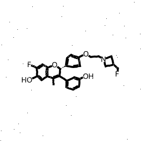 CC1=C(c2cccc(O)c2)[C@@H](c2ccc(OCCN3CC(CF)C3)cc2)Oc2cc(F)c(O)cc21